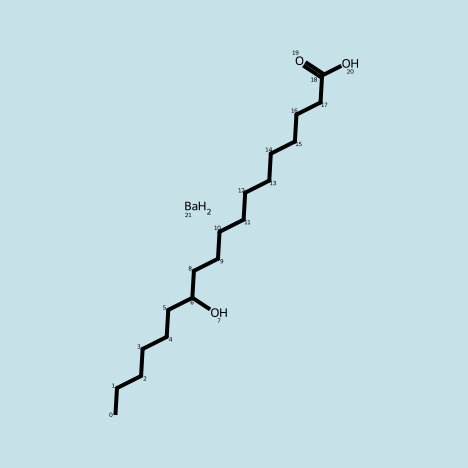 CCCCCCC(O)CCCCCCCCCCC(=O)O.[BaH2]